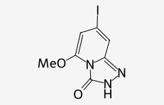 COc1cc(I)cc2n[nH]c(=O)n12